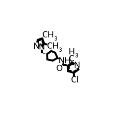 Cc1cnn(C[C@H]2CC[C@H](NC(=O)c3cc(Cl)cnc3C)CC2)c1C